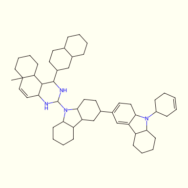 CC12C=CC3NC(N4C5CCCCC5C5CC(C6=CCC7C(=C6)C6CCCCC6N7C6CC=CCC6)CCC54)NC(C4CCC5CCCCC5C4)C3C1CCCC2